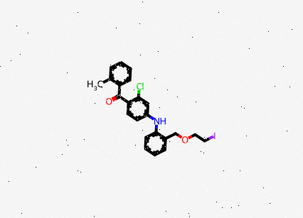 Cc1ccccc1C(=O)c1ccc(Nc2ccccc2COCCI)cc1Cl